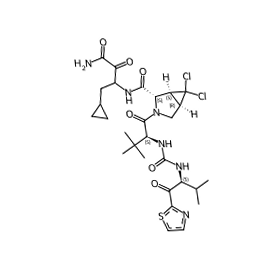 CC(C)[C@H](NC(=O)N[C@H](C(=O)N1C[C@H]2[C@@H]([C@H]1C(=O)NC(CC1CC1)C(=O)C(N)=O)C2(Cl)Cl)C(C)(C)C)C(=O)c1nccs1